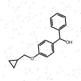 OC(c1ccccc1)c1ccc(OCC2CC2)cc1